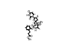 CC(C)OC(=O)CCc1ccccc1OP(=O)(NC(C)C(=O)OC(C)C)OC[C@]1(N)C[C@@H](F)C(n2ccc(=O)[nH]c2=O)O1